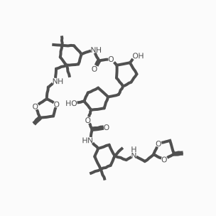 C=C1COC(CNCC2(C)CC(NC(=O)OC3CC(CC4CCC(O)C(OC(=O)NC5CC(C)(C)CC(C)(CNCC6OCC(=C)O6)C5)C4)CCC3O)CC(C)(C)C2)O1